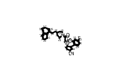 N#Cc1ccc(OCC(=O)N2CCC(CCc3cccc4ccccc34)CC2)c(-c2ccc(F)cc2O)c1